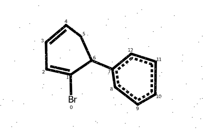 BrC1=CC=CCC1c1ccccc1